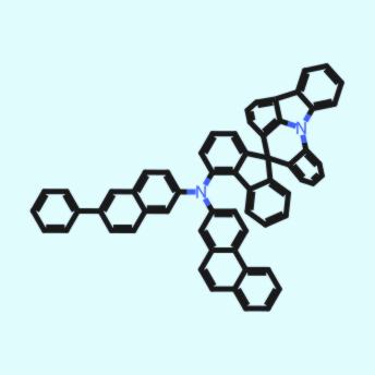 c1ccc(-c2ccc3cc(N(c4ccc5c(ccc6ccccc65)c4)c4cccc5c4-c4ccccc4C54c5ccccc5-n5c6ccccc6c6cccc4c65)ccc3c2)cc1